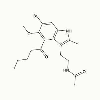 CCCCC(=O)c1c(OC)c(Br)cc2[nH]c(C)c(CCNC(C)=O)c12